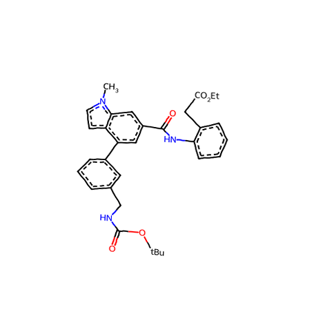 CCOC(=O)Cc1ccccc1NC(=O)c1cc(-c2cccc(CNC(=O)OC(C)(C)C)c2)c2ccn(C)c2c1